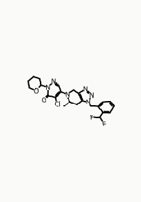 C[C@@H]1Cc2c(nnn2Cc2ccccc2C(F)F)CN1c1cnn(C2CCCCO2)c(=O)c1Cl